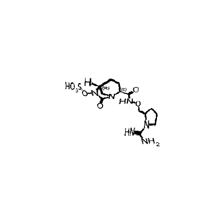 N=C(N)N1CCCC1CONC(=O)[C@@H]1CC[C@@H]2CN1C(=O)N2OS(=O)(=O)O